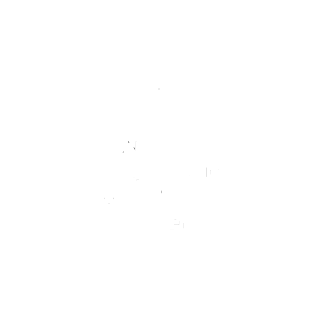 CC(C)(C)OC(=O)N1CCCCC1CC=O